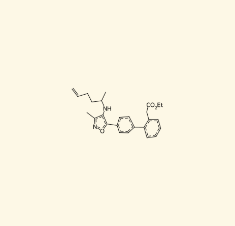 C=CCCC(C)Nc1c(C)noc1-c1ccc(-c2ccccc2CC(=O)OCC)cc1